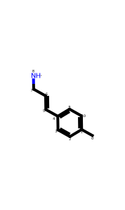 Cc1ccc(C=CC[NH])cc1